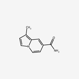 Cc1ccn2ccc(C(N)=O)cc12